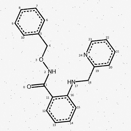 O=C(NOCc1ccccc1)c1ccccc1NCc1ccccn1